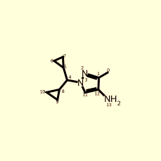 Cc1nn(C(C2CC2)C2CC2)cc1N